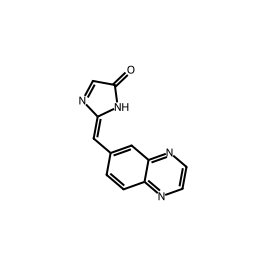 O=C1C=NC(=Cc2ccc3nccnc3c2)N1